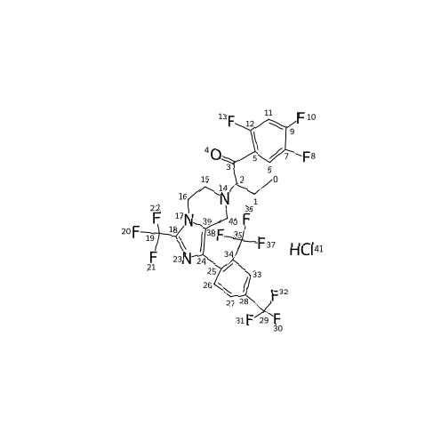 CCC(C(=O)c1cc(F)c(F)cc1F)N1CCn2c(C(F)(F)F)nc(-c3ccc(C(F)(F)F)cc3C(F)(F)F)c2C1.Cl